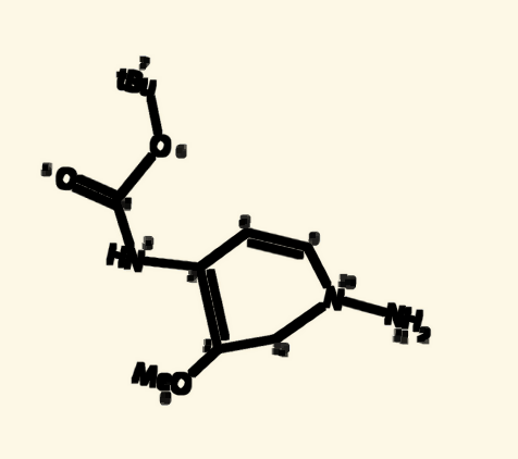 COC1=C(NC(=O)OC(C)(C)C)C=CN(N)C1